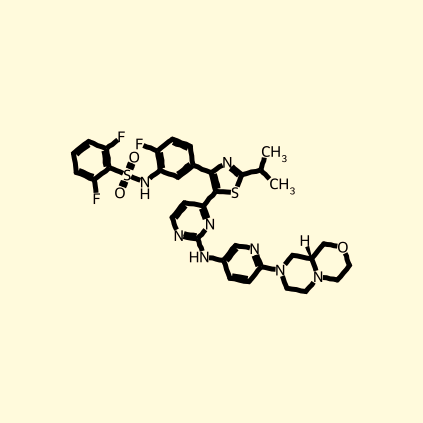 CC(C)c1nc(-c2ccc(F)c(NS(=O)(=O)c3c(F)cccc3F)c2)c(-c2ccnc(Nc3ccc(N4CCN5CCOC[C@H]5C4)nc3)n2)s1